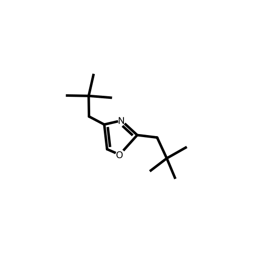 CC(C)(C)Cc1coc(CC(C)(C)C)n1